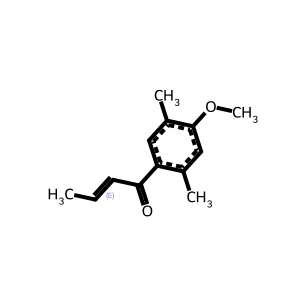 C/C=C/C(=O)c1cc(C)c(OC)cc1C